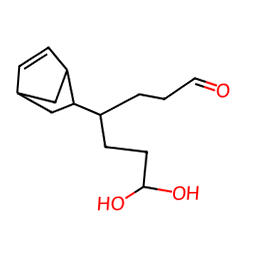 O=CCCC(CCC(O)O)C1CC2C=CC1C2